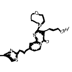 CC(C)c1csc(CCc2ccn3c(=O)c(C=CCO)c(N4CCOCC4)nc3c2)n1